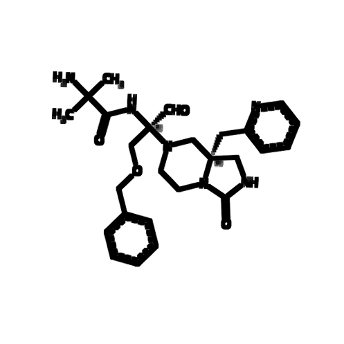 CC(C)(N)C(=O)N[C@](C=O)(COCc1ccccc1)N1CCN2C(=O)NC[C@]2(Cc2ccccn2)C1